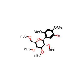 CCCCOC[C@H]1O[C@@H](c2cc(Br)c(OC)cc2OC)[C@H](OCCCC)[C@@H](OCCCC)[C@@H]1OCCCC